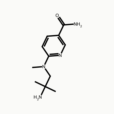 CN(CC(C)(C)N)c1ccc(C(N)=O)cn1